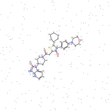 O=C(CC1SC(C2CCCCC2)N(c2ccc(N3CCOCC3)cc2)C1=O)N1CCC(n2c(=O)[nH]c3ncccc32)CC1